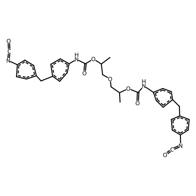 CC(COCC(C)OC(=O)Nc1ccc(Cc2ccc(N=C=O)cc2)cc1)OC(=O)Nc1ccc(Cc2ccc(N=C=O)cc2)cc1